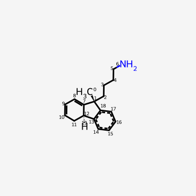 C[C@]1(CCCCN)C2=CC=CC[C@@H]2c2ccccc21